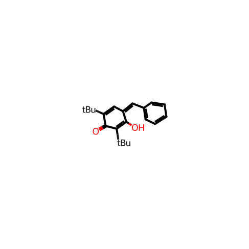 CC(C)(C)C1=CC(=Cc2ccccc2)C(O)=C(C(C)(C)C)C1=O